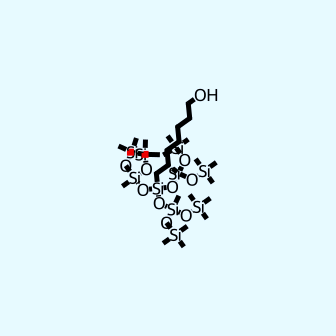 C[Si](C)(C)O[Si](C)(O[Si](C)(C)C)O[Si](CCCCCCCO)(O[Si](C)(O[Si](C)(C)C)O[Si](C)(C)C)O[Si](C)(O[Si](C)(C)C)O[Si](C)(C)C